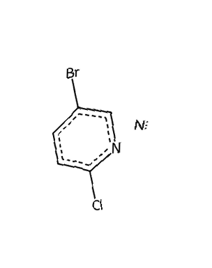 Clc1ccc(Br)cn1.[N]